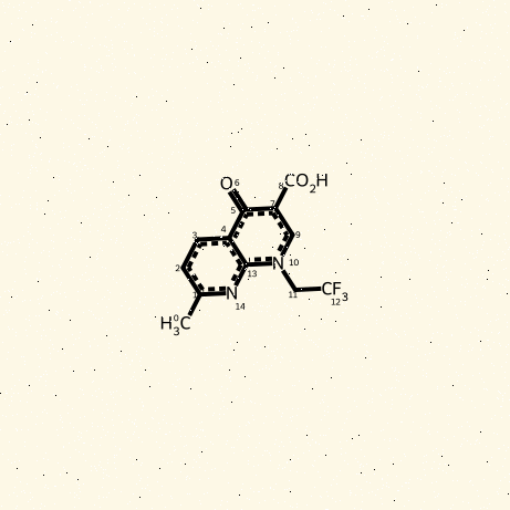 Cc1ccc2c(=O)c(C(=O)O)cn(CC(F)(F)F)c2n1